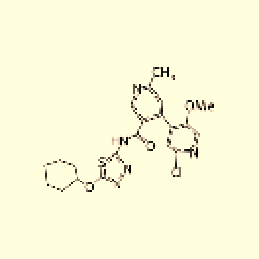 COc1cnc(Cl)cc1-c1cc(C)ncc1C(=O)Nc1nnc(OC2CCCCC2)s1